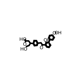 O=C(Cc1ccc(C2CC(O)OC(O)C2)cc1)c1cccc(-c2ccc(OO)cc2)c1O